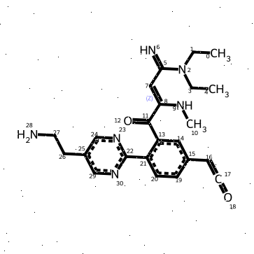 CCN(CC)C(=N)/C=C(\NC)C(=O)c1cc(C=C=O)ccc1-c1ncc(CCN)cn1